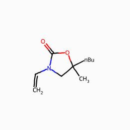 C=CN1CC(C)(CCCC)OC1=O